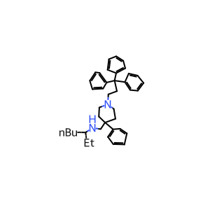 CCCCC(CC)NCC1(c2ccccc2)CCN(CCC(c2ccccc2)(c2ccccc2)c2ccccc2)CC1